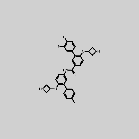 Cc1ccc(-c2cc(NC(=O)c3ccc(OC4CNC4)c(-c4ccc(F)c(F)c4)c3)ccc2OC2CNC2)cc1